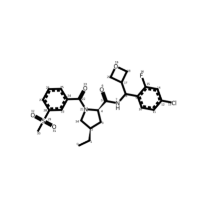 CC[C@@H]1C[C@H](C(=O)NC(c2ccc(Cl)cc2F)C2COC2)N(C(=O)c2cccc(S(C)(=O)=O)c2)C1